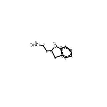 O=CCCC1Cc2ccccc2O1